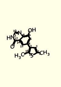 Cc1cc(-c2cc(O)c3nc[nH]c(=O)c3c2)c(C)s1